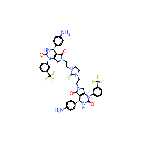 Nc1ccc([C@H]2NC(=O)N(c3cccc(C(F)(F)F)c3)C3=C2C(=O)N(CCN2CCN(CCN4CC5=C(C4=O)[C@@H](c4ccc(N)cc4)NC(=O)N5c4cccc(C(F)(F)F)c4)C2=S)C3)cc1